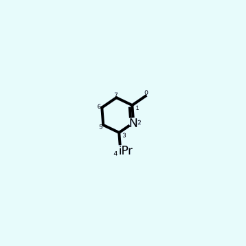 CC1=NC(C(C)C)CCC1